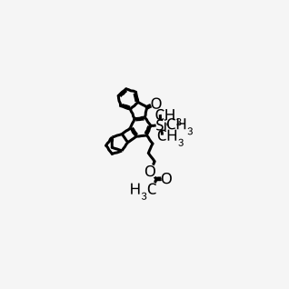 CC(=O)OCCCc1c2c(c3c(c1[Si](C)(C)C)C(=O)c1ccccc1-3)C1C3CCC(C3)C21